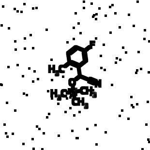 Cc1ccc(F)cc1C(C#N)O[Si](C)(C)C